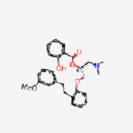 COc1cccc(CCc2ccccc2OC[C@@H](CN(C)C)OC(=O)c2ccccc2O)c1